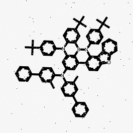 Cc1cc(-c2ccccc2)ccc1N(c1cc2c3c(c1)N(c1ccc(C(C)(C)C)cc1)c1ccc(C(C)(C)C)cc1B3N(c1ccc(C(C)(C)C)cc1)c1c-2ccc2oc3ccccc3c12)c1ccc(-c2ccccc2)cc1C